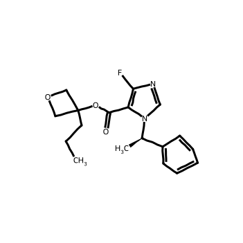 CCCC1(OC(=O)c2c(F)ncn2[C@H](C)c2ccccc2)COC1